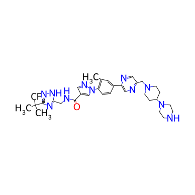 Cc1cc(-c2cnc(CN3CCC(N4CCNCC4)CC3)cn2)ccc1-n1cc(C(=O)NCc2nc(C(C)(C)C(F)(F)F)n[nH]2)cn1